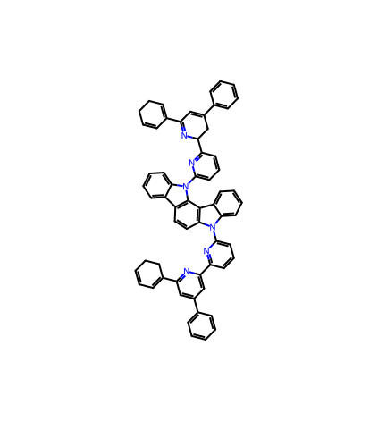 C1=CCCC(c2cc(-c3ccccc3)cc(-c3cccc(-n4c5ccccc5c5c4ccc4c6ccccc6n(-c6cccc(C7CC(c8ccccc8)=CC(C8=CCCC=C8)=N7)n6)c45)n3)n2)=C1